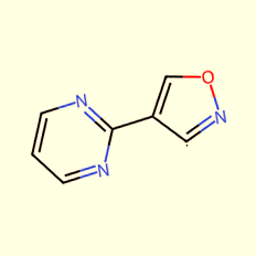 [c]1nocc1-c1ncccn1